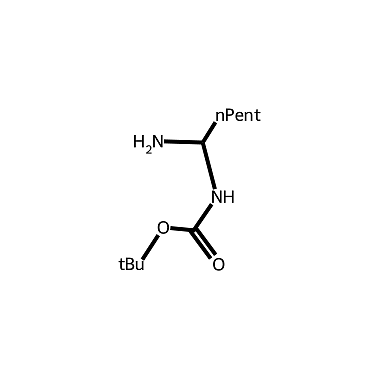 CCCCCC(N)NC(=O)OC(C)(C)C